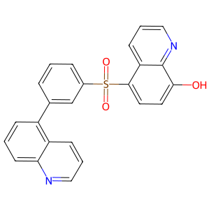 O=S(=O)(c1cccc(-c2cccc3ncccc23)c1)c1ccc(O)c2ncccc12